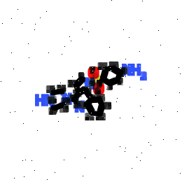 Nc1ccc(S(=O)(=O)n2ccc3c(N4CCNCC4)nc4ccccc4c32)cc1